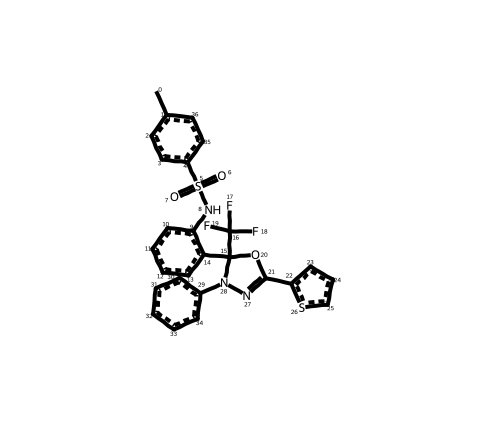 Cc1ccc(S(=O)(=O)Nc2ccccc2C2(C(F)(F)F)OC(c3cccs3)=NN2c2ccccc2)cc1